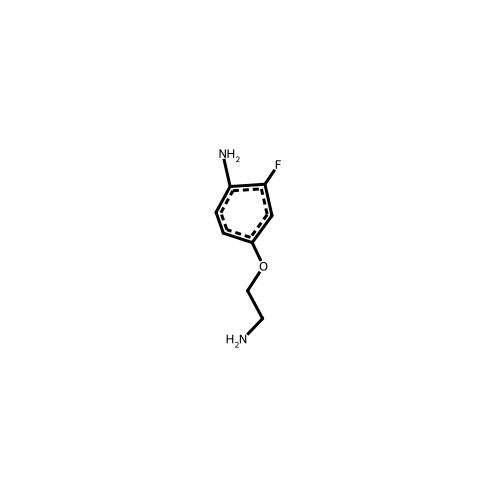 NCCOc1ccc(N)c(F)c1